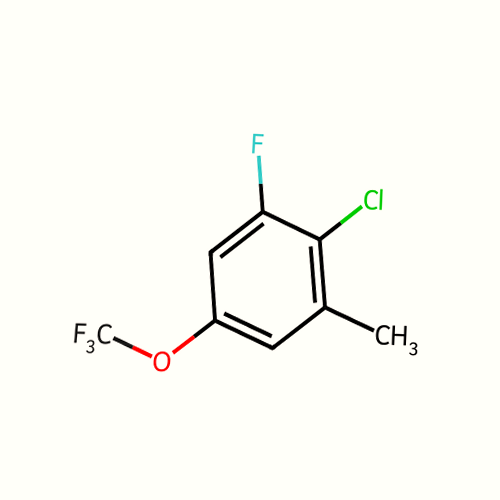 Cc1cc(OC(F)(F)F)cc(F)c1Cl